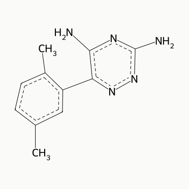 Cc1ccc(C)c(-c2nnc(N)nc2N)c1